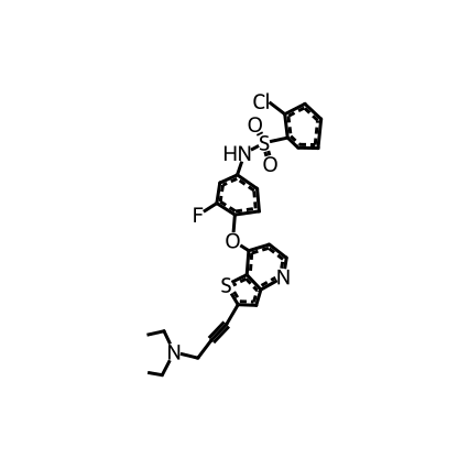 CCN(CC)CC#Cc1cc2nccc(Oc3ccc(NS(=O)(=O)c4ccccc4Cl)cc3F)c2s1